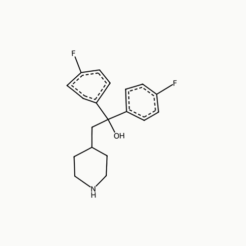 OC(CC1CCNCC1)(c1ccc(F)cc1)c1ccc(F)cc1